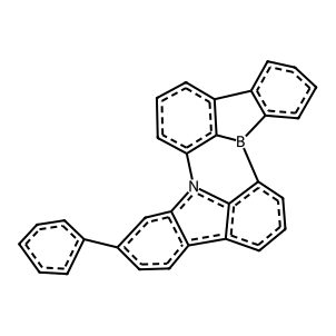 c1ccc(-c2ccc3c4cccc5c4n(c3c2)-c2cccc3c2B5c2ccccc2-3)cc1